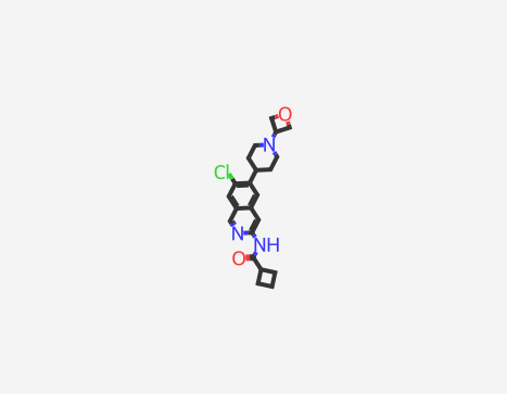 O=C(Nc1cc2cc(C3CCN(C4COC4)CC3)c(Cl)cc2cn1)C1CCC1